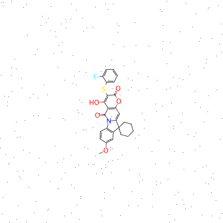 COc1ccc2c(c1)C1(CCCCC1)c1cc3oc(=O)c(Sc4ccccc4F)c(O)c3c(=O)n1-2